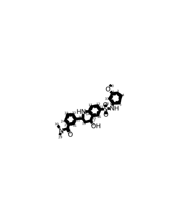 COc1cccc(NS(=O)(=O)c2ccc3c(c2)C(O)CC(c2cccc(C(=O)N(C)C)c2)N3)c1